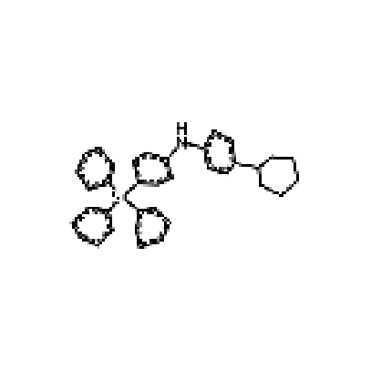 c1ccc([Si](c2ccccc2)(c2ccccc2)c2ccc(Nc3ccc(C4CCCCC4)cc3)cc2)cc1